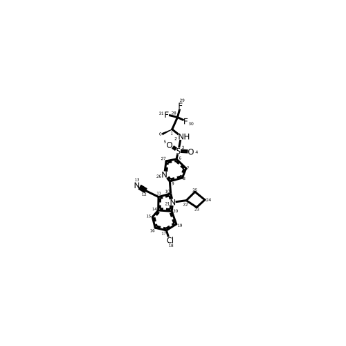 C[C@H](NS(=O)(=O)c1ccc(-c2c(C#N)c3ccc(Cl)cc3n2C2CCC2)nc1)C(F)(F)F